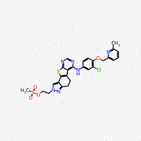 Cc1cccc(COc2ccc(Nc3ncnc4sc5c(c34)CCc3nn(CCOS(C)(=O)=O)cc3-5)cc2Cl)n1